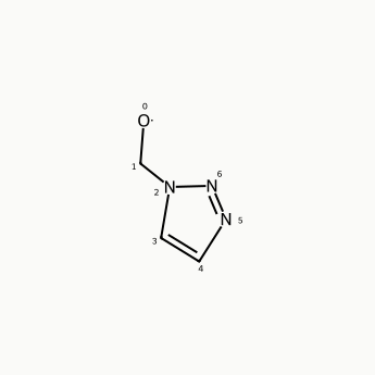 [O]Cn1ccnn1